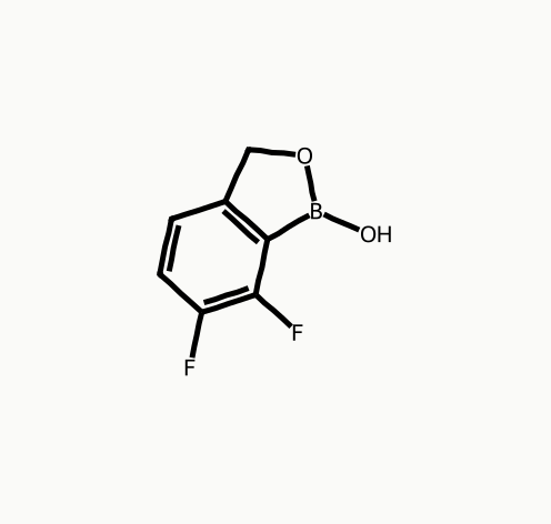 OB1OCc2ccc(F)c(F)c21